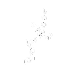 COC(=O)[C@H](Cc1ccc(-c2ccc(C#N)cc2)cc1)NC(=O)C1Cc2cc3c(cc2CN1C(=O)OC(C)(C)C)O[C@@H](c1ccc(OCc2cc(Cl)ccc2Cl)cc1)C(=O)N3